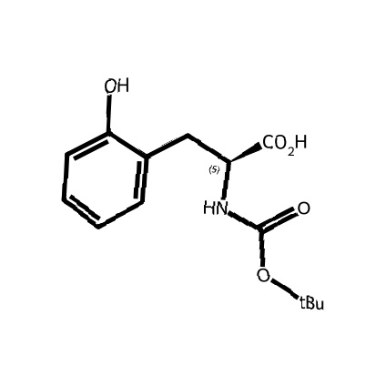 CC(C)(C)OC(=O)N[C@@H](Cc1ccccc1O)C(=O)O